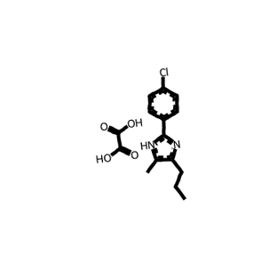 CCCc1nc(-c2ccc(Cl)cc2)[nH]c1C.O=C(O)C(=O)O